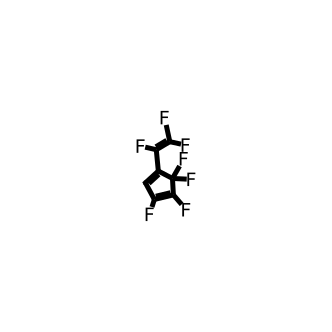 FC(F)=C(F)C1=CC(F)=C(F)C1(F)F